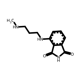 CNCCCNc1cccc2c1C(=O)NC2=O